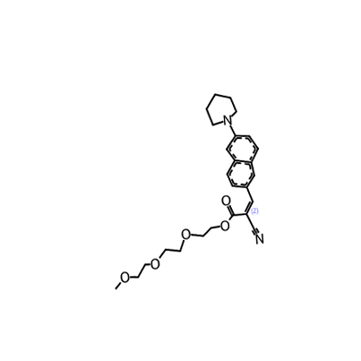 COCCOCCOCCOC(=O)/C(C#N)=C\c1ccc2cc(N3CCCCC3)ccc2c1